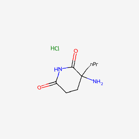 CCCC1(N)CCC(=O)NC1=O.Cl